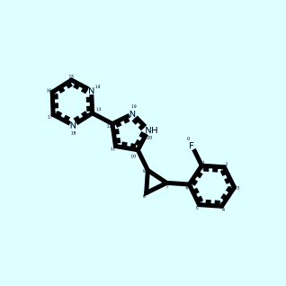 Fc1ccccc1C1CC1c1cc(-c2ncccn2)n[nH]1